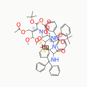 COC(OC)/C(COC(C)=O)=C(/C(=O)OC(C)(C)C)N1C(=O)C(NC(c2ccccc2)(c2ccccc2)c2ccccc2)C1[S][Hg][S]C1C(NC(c2ccccc2)(c2ccccc2)c2ccccc2)C(=O)N1/C(C(=O)OC(C)(C)C)=C(/COC(C)=O)C(OC)OC